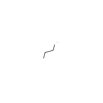 BCCO